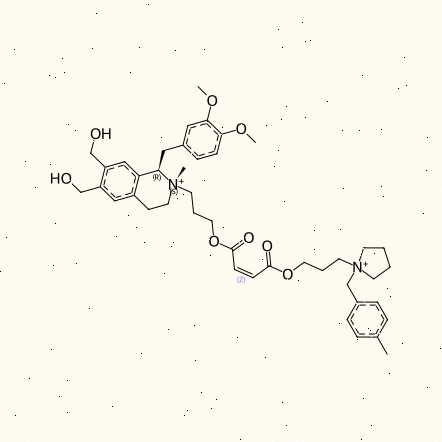 COc1ccc(C[C@@H]2c3cc(CO)c(CO)cc3CC[N@@+]2(C)CCCOC(=O)/C=C\C(=O)OCCC[N+]2(Cc3ccc(C)cc3)CCCC2)cc1OC